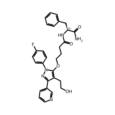 NC(=O)[C@H](Cc1ccccc1)NC(=O)CCCOc1c(CCO)c(-c2cccnc2)nn1-c1ccc(F)cc1